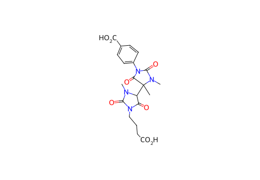 CN1C(=O)N(CCCC(=O)O)C(=O)C1C1(C)C(=O)N(c2ccc(C(=O)O)cc2)C(=O)N1C